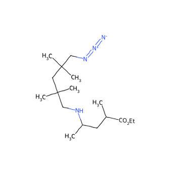 CCOC(=O)C(C)CC(C)NCC(C)(C)CC(C)(C)CN=[N+]=[N-]